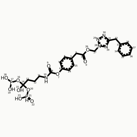 O=C(Cc1ccc(OC(=O)NCCCC(O)(OP(O)O)O[PH](=O)O)cc1)OCn1nnc(Cc2ccccc2)n1